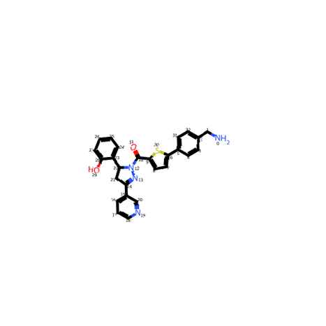 NCc1ccc(-c2ccc(C(=O)N3N=C(c4cccnc4)CC3c3ccccc3O)s2)cc1